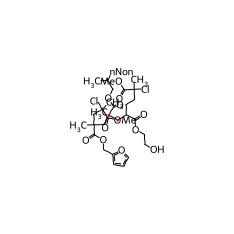 CCCCCCCCCC(C)COC(=O)C(C)(CC(CCC(C)(Cl)C(=O)OC)C(=O)OCCO)CC(C)(CC(C)(Cl)C(=O)OC)C(=O)OCc1ccco1